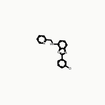 Clc1cccc(-c2nc3cccc(NCc4ccccn4)c3o2)c1